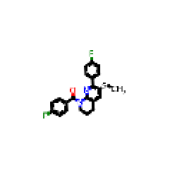 C[Se]c1cc2c(nc1-c1ccc(F)cc1)N(C(=O)c1ccc(F)cc1)CCC2